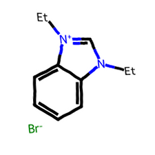 CCn1c[n+](CC)c2ccccc21.[Br-]